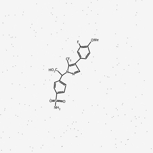 COc1ccc(-c2cnn(C(C(=O)O)c3ccc(S(N)(=O)=O)cc3)c2C(F)(F)F)cc1F